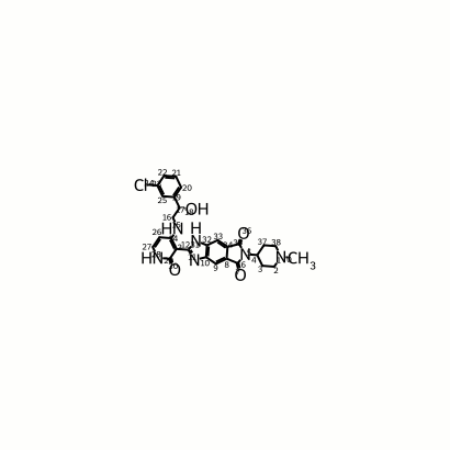 CN1CCC(N2C(=O)c3cc4nc(-c5c(NC[C@@H](O)c6cccc(Cl)c6)cc[nH]c5=O)[nH]c4cc3C2=O)CC1